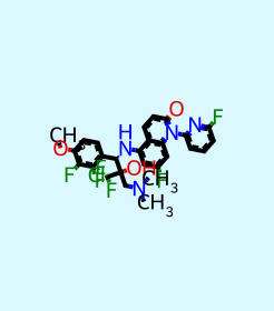 COc1ccc([C@H](Nc2cc(F)cc3c2ccc(=O)n3-c2cccc(F)n2)C(O)(CN(C)C)C(F)(F)F)c(Cl)c1F